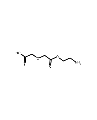 NCCOC(=S)COCC(O)=S